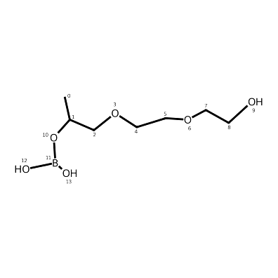 CC(COCCOCCO)OB(O)O